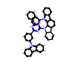 C1=CC2c3ccc4c5ccccc5n(-c5ccccc5)c4c3N(c3nc(-c4ccccc4)nc(-c4cccc(-n5c6ccccc6c6ccccc65)c4)n3)C2C=C1